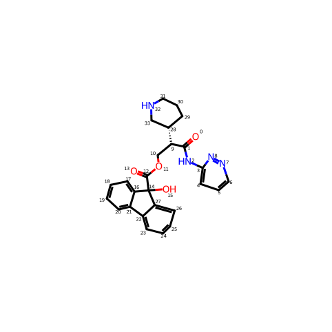 O=C(Nc1cccnn1)C(COC(=O)C1(O)c2ccccc2-c2ccccc21)[C@H]1CCCNC1